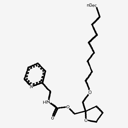 CCCCCCCCCCCCCCCCCCOCC1(COC(=O)NCc2ccccn2)CCCO1